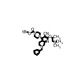 CC(CN(C)C)Oc1nc2c(c(N3CCN(C(=O)OC(C)(C)C)CC3)c1C#N)CCN(Cc1ccccc1)C2